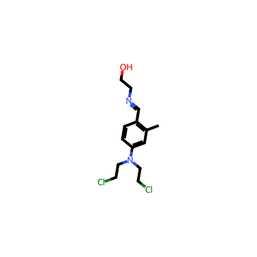 Cc1cc(N(CCCl)CCCl)ccc1C=NCCO